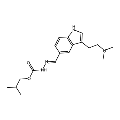 CC(C)COC(=O)N/N=C/c1ccc2[nH]cc(CCN(C)C)c2c1